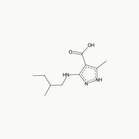 CCC(C)CNc1n[nH]c(C)c1C(=O)O